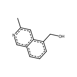 Cc1cc2c(CO)cccc2cn1